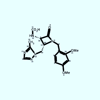 COc1ccc(CN2C(=O)[C@@H](NC(=O)O)[C@H]2Cn2ncnc2C)c(OC)c1